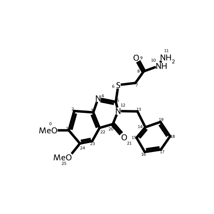 COc1cc2nc(SCC(=O)NN)n(Cc3ccccc3)c(=O)c2cc1OC